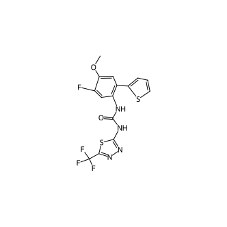 COc1cc(-c2cccs2)c(NC(=O)Nc2nnc(C(F)(F)F)s2)cc1F